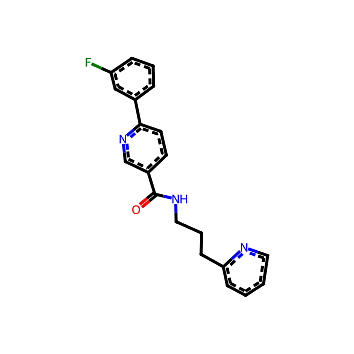 O=C(NCCCc1ccccn1)c1ccc(-c2cccc(F)c2)nc1